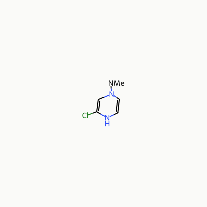 CNN1C=CNC(Cl)=C1